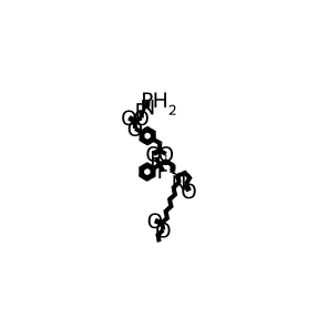 CCOC(=O)CCCCCCN1C(=O)CC[C@@H]1/C=C/[C@@H](OC(=O)Cc1ccc(OC(=O)O/P=N/P)cc1)C(F)(F)c1ccccc1